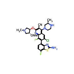 CO[C@@H]1CN(C)C[C@H]1Oc1nc2c(F)c(-c3ccc(F)c4sc(N)nc34)c(Cl)cc2c(N2CCN[C@H](C)C2)c1C#N